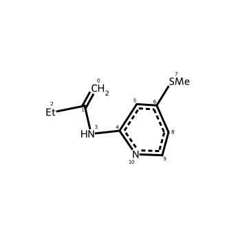 C=C(CC)Nc1cc(SC)ccn1